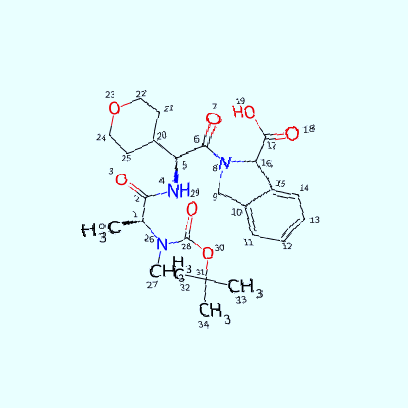 C[C@@H](C(=O)N[C@H](C(=O)N1Cc2ccccc2C1C(=O)O)C1CCOCC1)N(C)C(=O)OC(C)(C)C